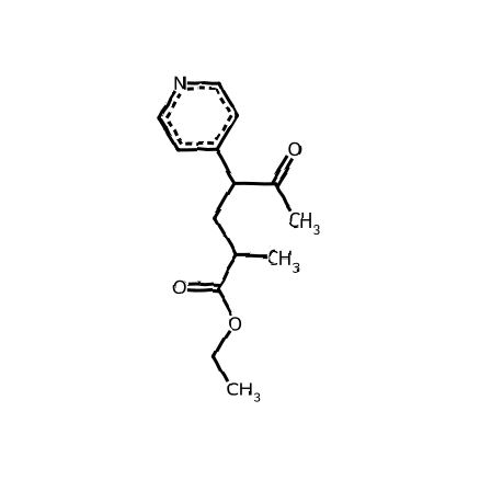 CCOC(=O)C(C)CC(C(C)=O)c1ccncc1